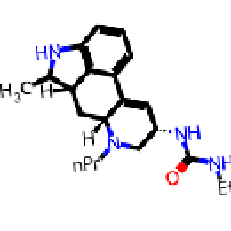 CCCN1C[C@@H](NC(=O)NCC)C=C2c3cccc4c3[C@H](C[C@H]21)C(C)N4